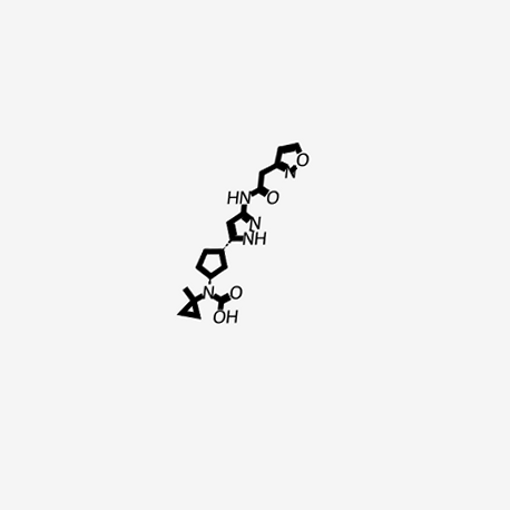 CC1(N(C(=O)O)[C@@H]2CC[C@H](c3cc(NC(=O)Cc4ccon4)n[nH]3)C2)CC1